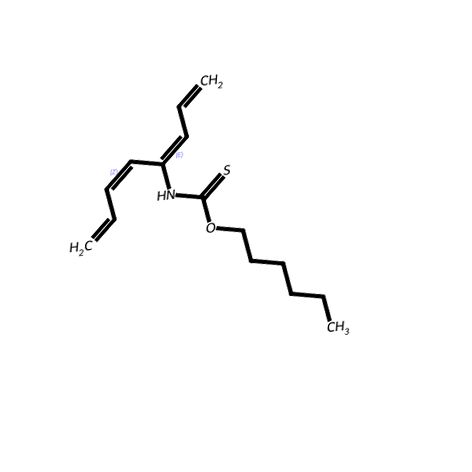 C=C/C=C\C(=C/C=C)NC(=S)OCCCCCC